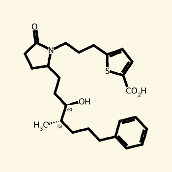 C[C@@H](CCCc1ccccc1)[C@H](O)CCC1CCC(=O)N1CCCc1ccc(C(=O)O)s1